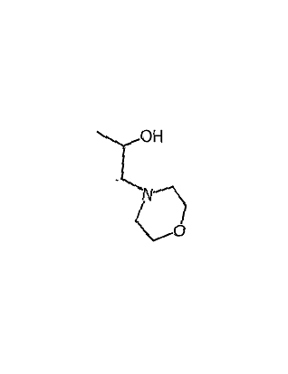 CC(O)[CH]N1CCOCC1